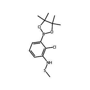 CSNc1cccc(B2OC(C)(C)C(C)(C)O2)c1Cl